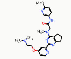 COc1ccc(NC(=O)CN(C)c2nc(-c3cc(OCCN(C)C)ccn3)nc3c2CCC3)cn1